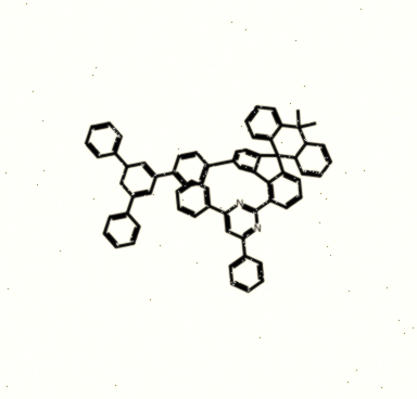 CC1(C)c2ccccc2C2(c3ccc(-c4ccc(C5=CC(c6ccccc6)CC(c6ccccc6)=C5)cc4)cc3-c3c(-c4nc(-c5ccccc5)cc(-c5ccccc5)n4)cccc32)C2C=CC=CC21